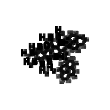 Bc1c(B)c(-c2ccc(-c3ccc4ccc5cccc6ccc3c4c56)cc2-c2ccc3ccc4cccc5ccc2c3c45)c2c(oc3c4c(B)c(B)c(B)c(B)c4c(B)c(B)c32)c1B